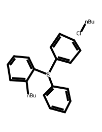 CCCCCl.CCCCc1ccccc1B(c1ccccc1)c1ccccc1